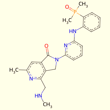 CNCc1nc(C)cc2c1CN(c1cccc(Nc3ccccc3P(C)(C)=O)n1)C2=O